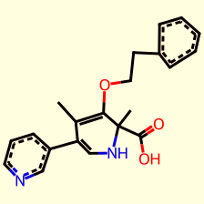 CC1=C(OCCc2ccccc2)C(C)(C(=O)O)NC=C1c1cccnc1